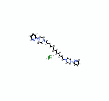 Cl.Cl.c1ccc(N2CCN(CCCCCCCCCCCCN3CCN(c4ccccn4)CC3)CC2)nc1